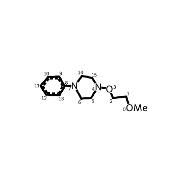 COCCON1CCN(c2ccccc2)CC1